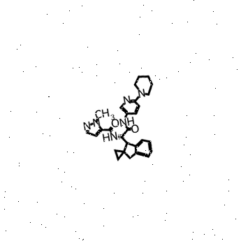 Cn1nccc1C(=O)N[C@H](C(=O)Nc1ccc(N2CCCCC2)nc1)C1c2ccccc2CC12CC2